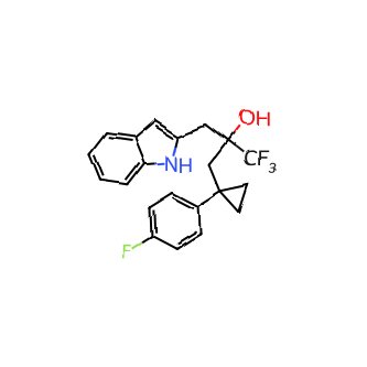 OC(Cc1cc2ccccc2[nH]1)(CC1(c2ccc(F)cc2)CC1)C(F)(F)F